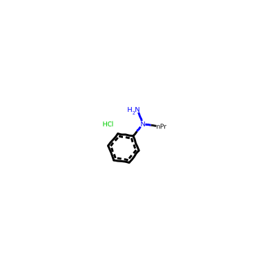 CCCN(N)c1ccccc1.Cl